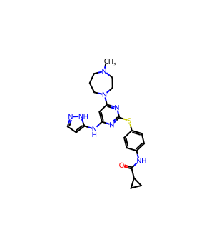 CN1CCCN(c2cc(Nc3ccn[nH]3)nc(Sc3ccc(NC(=O)C4CC4)cc3)n2)CC1